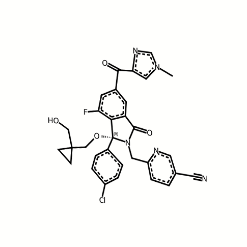 Cn1cnc(C(=O)c2cc(F)c3c(c2)C(=O)N(Cc2ccc(C#N)cn2)[C@@]3(OCC2(CO)CC2)c2ccc(Cl)cc2)c1